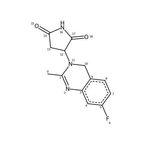 CC1=Nc2cc(F)ccc2CN1C1CC(=O)NC1=O